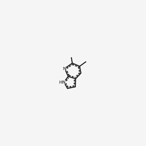 Cc1cc2cc[nH]c2nc1C